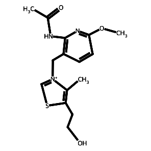 COc1ccc(C[n+]2csc(CCO)c2C)c(NC(C)=O)n1